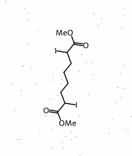 COC(=O)C(I)CCCCC(I)C(=O)OC